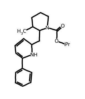 CC(C)OC(=O)N1CCCC(C)C1CC1C=CC=C(c2ccccc2)N1